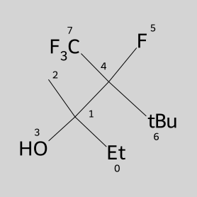 CCC(C)(O)C(F)(C(C)(C)C)C(F)(F)F